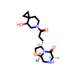 C[C@@H]1NC[C@H]2OC[C@H](CCC(=O)N3CCC4(CC4)C(O)C3)N2C1=O